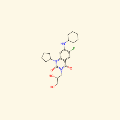 O=c1c2cc(F)c(NC3CCCCC3)cc2n(C2CCCC2)c(=O)n1CC(O)CO